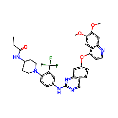 CCC(=O)NC1CCN(c2ccc(Nc3ncc4ccc(Oc5ccnc6cc(OC)c(OC)cc56)cc4n3)cc2C(F)(F)F)CC1